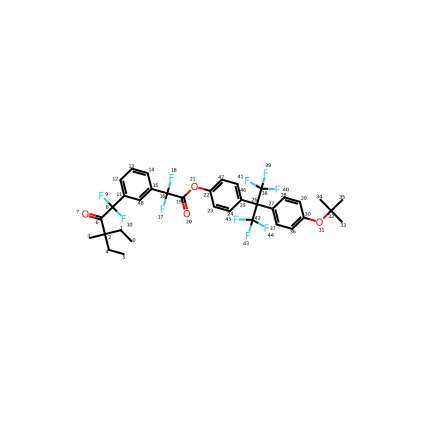 CCC(C)(CC)C(=O)C(F)(F)c1cccc(C(F)(F)C(=O)Oc2ccc(C(c3ccc(OC(C)(C)C)cc3)(C(F)(F)F)C(F)(F)F)cc2)c1